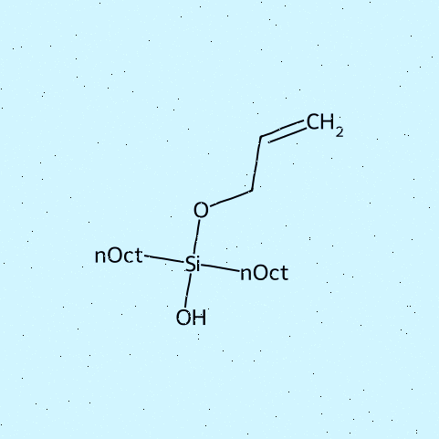 C=CCO[Si](O)(CCCCCCCC)CCCCCCCC